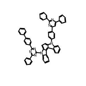 c1ccc(-c2ccc(-c3nc(-c4ccccc4)nc(-n4c5ccccc5c5c6c7ccccc7n(-c7ccc(-c8cc(-c9ccccc9)nc(-c9ccccc9)n8)cc7)c6ccc54)n3)cc2)cc1